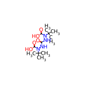 CC(C)(C)N(NC(=O)NN(C(=O)O)C(C)(C)C)C(=O)O